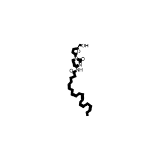 CC/C=C\C/C=C\C/C=C\C/C=C\C/C=C\CCCC(=O)Nc1ccn(C2CC[C@@H](CO)O2)c(=O)n1